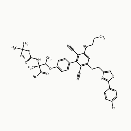 CCCNc1nc(SCc2csc(-c3ccc(Cl)cc3)n2)c(C#N)c(-c2ccc(OC(C)[C@@](C)(NC(=O)OC(C)(C)C)C(=O)O)cc2)c1C#N